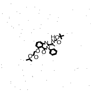 CC(C)OC(=O)COc1cccc2nc([C@H](C)NC(=O)OC(C)(C)C)n(-c3ccccc3)c(=O)c12